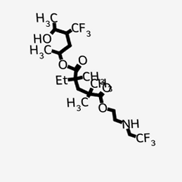 CCC(C)(CC(C)(C)C(=O)OCCNCC(F)(F)F)C(=O)OC(C)CC(C(C)O)C(F)(F)F